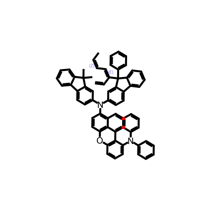 C=C/C(=C\C=C/C)C1(c2ccccc2)c2ccccc2-c2ccc(N(c3ccc4c(c3)C(C)(C)c3ccccc3-4)c3ccc4c5c(cccc35)-c3c(cccc3N(c3ccccc3)c3ccccc3)O4)cc21